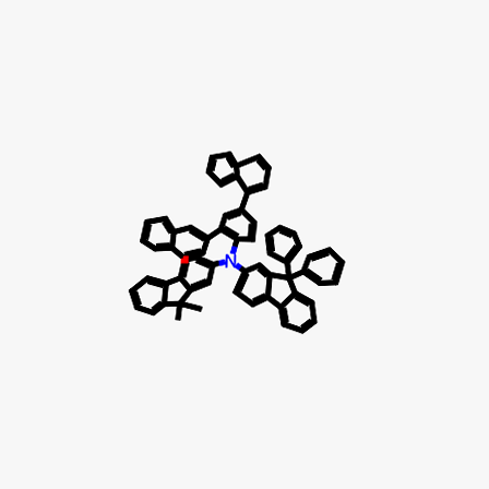 CC1(C)c2ccccc2-c2ccc(N(c3ccc4c(c3)C(c3ccccc3)(c3ccccc3)c3ccccc3-4)c3ccc(-c4cccc5ccccc45)cc3-c3ccc4ccccc4c3)cc21